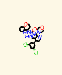 O=C(N[C@H]1CCOc2ccccc21)N1NC=c2c(-c3cc(Cl)cc(Cl)c3)ccnc2=C1N1CCOCC1